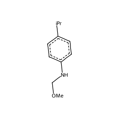 COCNc1ccc(C(C)C)cc1